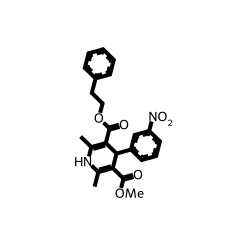 COC(=O)C1=C(C)NC(C)=C(C(=O)OCCc2ccccc2)C1c1cccc([N+](=O)[O-])c1